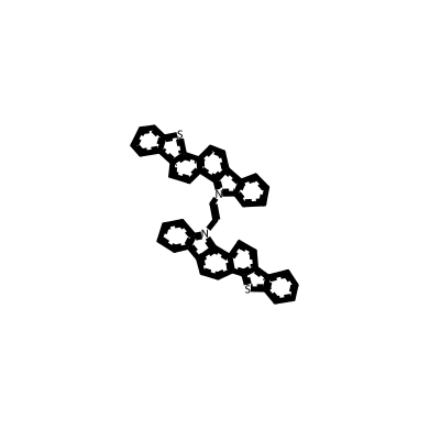 C(=C\n1c2ccccc2c2ccc3c(ccc4c5ccccc5sc43)c21)/n1c2ccccc2c2ccc3c(ccc4c5ccccc5sc43)c21